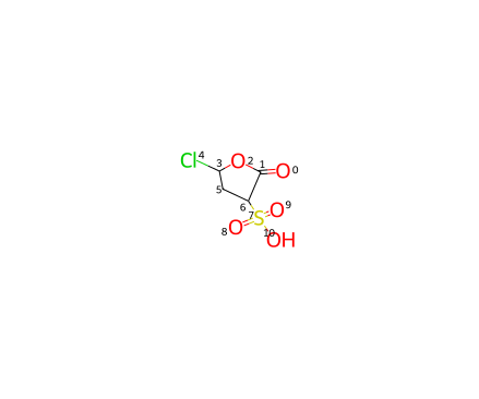 O=C1OC(Cl)CC1S(=O)(=O)O